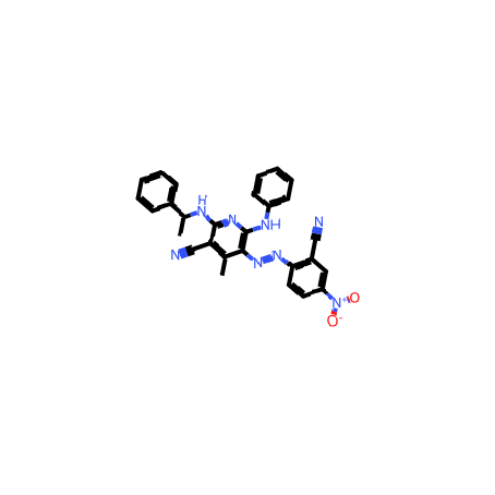 Cc1c(C#N)c(NC(C)c2ccccc2)nc(Nc2ccccc2)c1N=Nc1ccc([N+](=O)[O-])cc1C#N